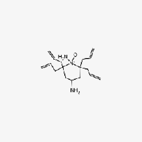 C=CCC1(CC=C)CC(N)CC(CC=C)(CC=C)[N+]1(N)[O-]